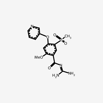 COc1cc(Oc2cccnc2)c(S(C)(=O)=O)cc1C(=O)N=C(N)N